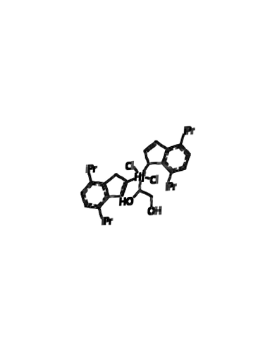 CC(C)c1ccc(C(C)C)c2c1C=[C]([Hf]([Cl])([Cl])([CH](O)CO)[CH]1C=Cc3c(C(C)C)ccc(C(C)C)c31)C2